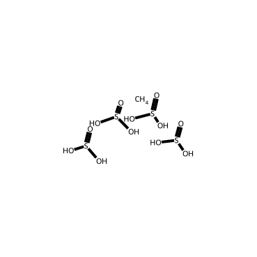 C.O=S(O)O.O=S(O)O.O=S(O)O.O=S(O)O